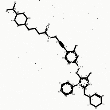 Cc1cc(OCc2c(C)nc(CC3C=CCCC3)n2-c2ccccc2)ccc1C#CCOC(=O)CCCC1CCC(C(C)C)CC1